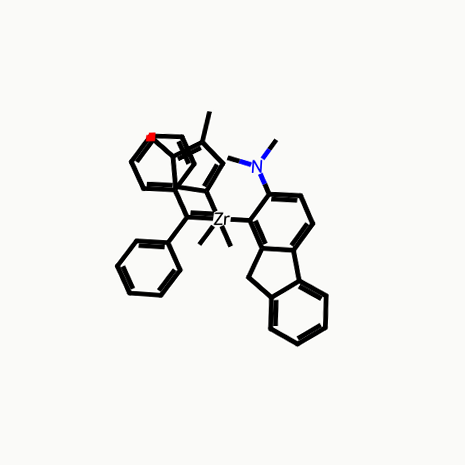 CC1=C(C)C[C]([Zr]([CH3])([CH3])(=[C](c2ccccc2)c2ccccc2)[c]2c(N(C)C)ccc3c2Cc2ccccc2-3)=C1